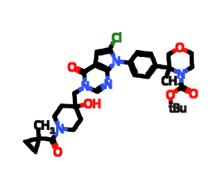 CC(C)(C)OC(=O)N1CCOCC1(C)c1ccc(-n2c(Cl)cc3c(=O)n(CC4(O)CCN(C(=O)C5(C)CC5)CC4)cnc32)cc1